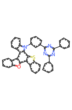 c1ccc(-c2nc(-c3ccccc3)nc(-c3cccc(-n4c5ccccc5c5c6c7ccccc7oc6c6c7ccccc7sc6c54)c3)n2)cc1